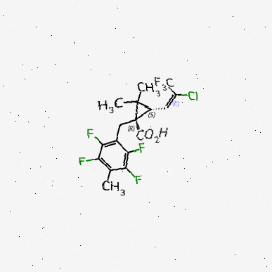 Cc1c(F)c(F)c(C[C@@]2(C(=O)O)[C@@H](/C=C(/Cl)C(F)(F)F)C2(C)C)c(F)c1F